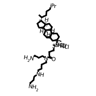 CC(C)CCCC(C)[C@H]1CC[C@H]2[C@@H]1CC[C@H]1[C@H]2CC=C2C[C@@](C)(SSCCC(=O)N(CCCN)CCCCNCCCN)CC[C@@]21C.Cl.Cl.Cl